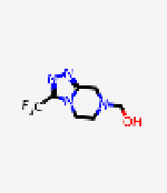 OCN1CCn2c(nnc2C(F)(F)F)C1